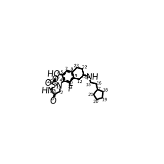 O=C1CN(c2c(O)cc3c(c2F)CC(NCCC2CCCC2)CC3)S(=O)(=O)N1